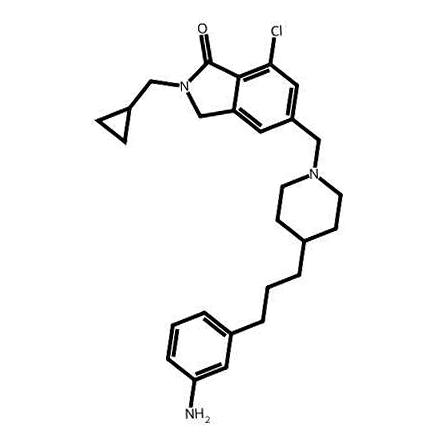 Nc1cccc(CCCC2CCN(Cc3cc(Cl)c4c(c3)CN(CC3CC3)C4=O)CC2)c1